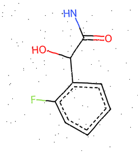 [NH]C(=O)C(O)c1ccccc1F